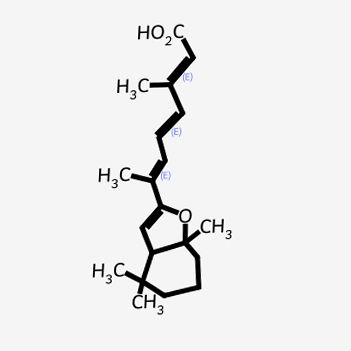 CC(/C=C/C=C(\C)C1=CC2C(C)(C)CCCC2(C)O1)=C\C(=O)O